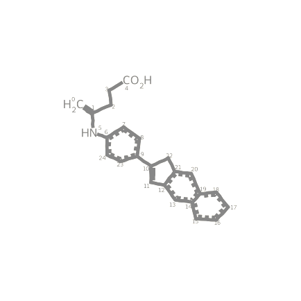 C=C(CCC(=O)O)Nc1ccc(C2=Cc3cc4ccccc4cc3C2)cc1